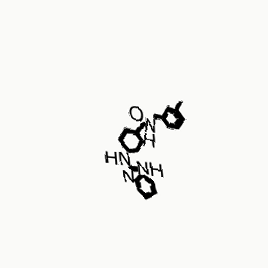 Cc1cccc(CNC(=O)C2CCC(Nc3nc4ccccc4[nH]3)CC2)c1